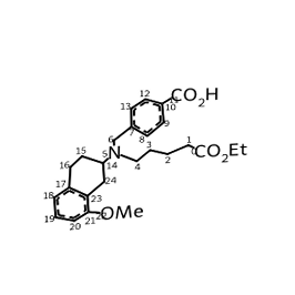 CCOC(=O)CCCCN(Cc1ccc(C(=O)O)cc1)C1CCc2cccc(OC)c2C1